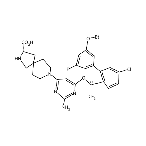 CCOc1cc(F)cc(-c2cc(Cl)ccc2[C@@H](Oc2cc(N3CCC4(CC3)CNC(C(=O)O)C4)nc(N)n2)C(F)(F)F)c1